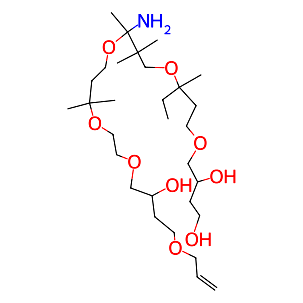 C=CCOCCC(O)COCCOC(C)(C)CCOC(C)(N)C(C)(C)COC(C)(CC)CCOCC(O)CCO